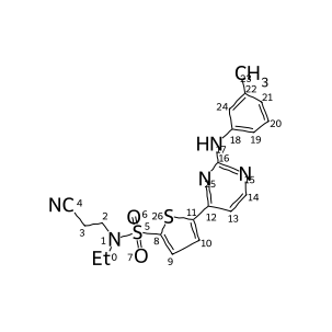 CCN(CCC#N)S(=O)(=O)c1ccc(-c2ccnc(Nc3cccc(C)c3)n2)s1